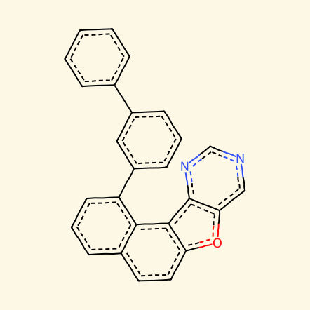 c1ccc(-c2cccc(-c3cccc4ccc5oc6cncnc6c5c34)c2)cc1